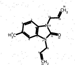 [CH2]c1ccc2c(c1)n(CC=C)c(=O)n2CC=C